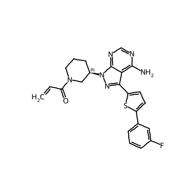 C=CC(=O)N1CCC[C@@H](n2nc(-c3ccc(-c4cccc(F)c4)s3)c3c(N)ncnc32)C1